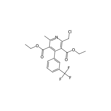 CCOC(=O)c1c(C)nc(CCl)c(C(=O)OCC)c1-c1cccc(C(F)(F)F)c1